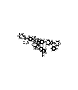 Cc1ccccc1[C@@H]1COCCN1C1CC2(CCN(c3ccc(C(=O)NS(=O)(=O)c4ccc(NC[C@H]5COCCO5)c([N+](=O)[O-])c4)c(N4c5cc6cc[nH]c6nc5O[C@H]5COCC[C@@H]54)c3)[C@H](C)C2)C1